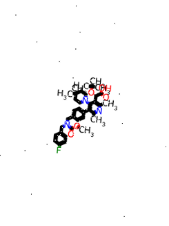 COC(=O)N(Cc1ccc(F)cc1)Cc1ccc(-c2c(C)nc(C)c([C@H](OC(C)(C)C)C(=O)O)c2N2CCC(C)(C)CC2)cc1